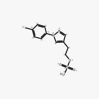 CS(=O)(=O)OCCc1cnn(-c2ccc(I)cc2)c1